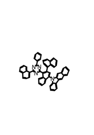 c1ccc(-c2nc(-c3cccc4ccccc34)nc(-c3c(-c4cccc5ccccc45)cc(-n4c5ccccc5c5cc6ccccc6cc54)c4ccccc34)n2)cc1